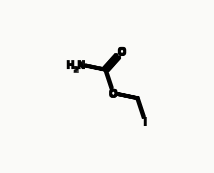 NC(=O)OCI